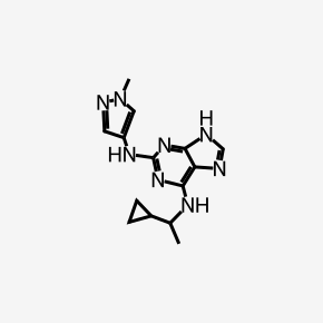 CC(Nc1nc(Nc2cnn(C)c2)nc2[nH]cnc12)C1CC1